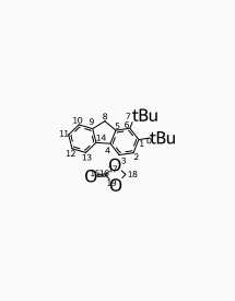 CC(C)(C)c1ccc2c(c1C(C)(C)C)Cc1ccccc1-2.O=C1OCO1